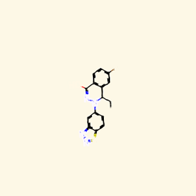 O=C(O)CC1c2cc(Br)ccc2C(O)=NN1c1ccc2snnc2c1